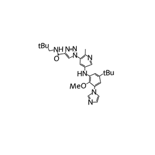 COc1c(Nc2cnc(C)c(-n3cc(C(=O)NCC(C)(C)C)nn3)c2)cc(C(C)(C)C)cc1-n1ccnc1